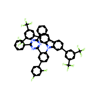 Fc1ccc(-c2ccc(-n3c4cc(-c5cc(C(F)(F)F)cc(C(F)(F)F)c5)ccc4c4ccc(-c5cc(C(F)(F)F)cc(C(F)(F)F)c5)cc43)c(-c3nc(-c4ccccc4)nc(-c4ccccc4)n3)c2)c(F)c1